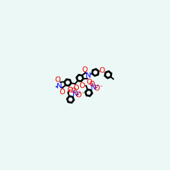 Cc1ccc(Oc2ccc(N3C(=O)c4ccc(C(=O)c5ccc6c(c5OCc5ccccc5[N+](=O)[O-])C(=O)N(C)C6=O)c(OCc5ccccc5[N+](=O)[O-])c4C3=O)cc2)cc1